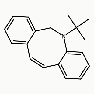 CC(C)(C)N1Cc2ccccc2/C=C\c2ccccc21